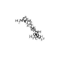 CC(C)(C)OC(=O)NC1C2CN(CCc3ccc(-c4cccc(N)n4)cc3)CC21